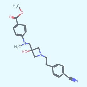 COC(=O)c1ccc(N(C)CC2(O)CN(CCc3ccc(C#N)cc3)C2)cc1